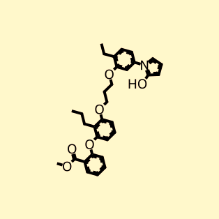 CCCc1c(OCCCOc2cc(-n3cccc3O)ccc2CC)cccc1Oc1ccccc1C(=O)OC